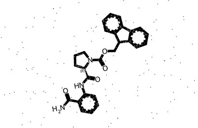 NC(=O)c1ccccc1NC(=O)[C@H]1CCCN1C(=O)OCC1c2ccccc2-c2ccccc21